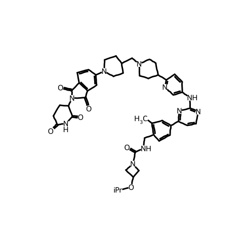 Cc1cc(-c2ccnc(Nc3ccc(C4CCN(CC5CCN(c6ccc7c(c6)C(=O)N(C6CCC(=O)NC6=O)C7=O)CC5)CC4)nc3)n2)ccc1CNC(=O)N1CC(OC(C)C)C1